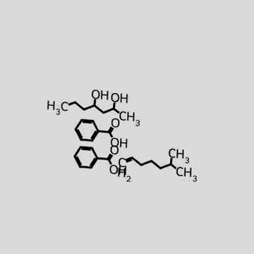 C=CCCCC(C)C.CCCC(O)CC(C)O.O=C(O)c1ccccc1.O=C(O)c1ccccc1